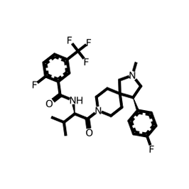 CC(C)[C@@H](NC(=O)c1cc(C(F)(F)F)ccc1F)C(=O)N1CCC2(CC1)CN(C)C[C@H]2c1ccc(F)cc1